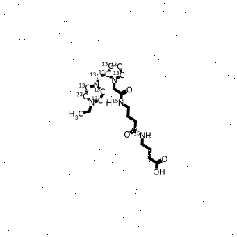 CCN1[13CH2][13CH2]N([13CH2][13CH]2[13CH2][13CH2][13CH2]N2CC(=O)[15NH]CCCC(=O)[15NH]CCCC(=O)O)[13CH2][13CH2]1